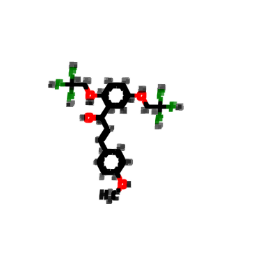 COc1ccc(C=CC(=O)c2cc(OCC(F)(F)F)ccc2OCC(F)(F)F)cc1